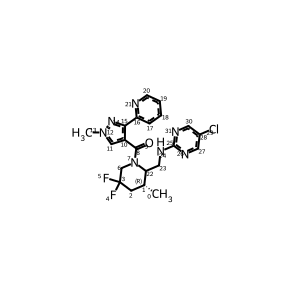 C[C@@H]1CC(F)(F)CN(C(=O)c2cn(C)nc2-c2ccccn2)C1CNc1ncc(Cl)cn1